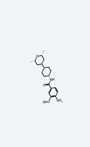 COc1cc(C(=O)N[C@H]2CC[C@H](N3C[C@@H](C)O[C@@H](C)C3)CC2)ccc1[N+](=O)[O-]